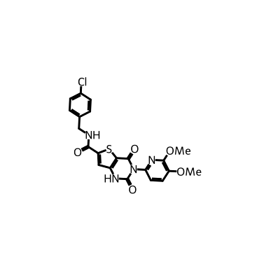 COc1ccc(-n2c(=O)[nH]c3cc(C(=O)NCc4ccc(Cl)cc4)sc3c2=O)nc1OC